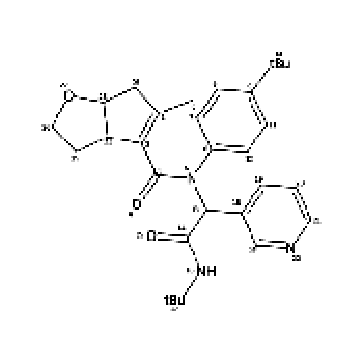 CC1=C(C(=O)N(c2ccc(C(C)(C)C)cc2)C(C(=O)NC(C)(C)C)c2cccnc2)C2CCOC2C1